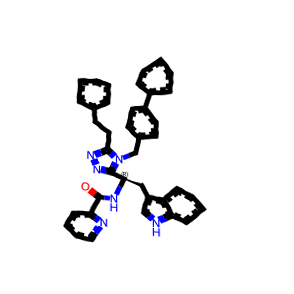 O=C(N[C@H](Cc1c[nH]c2ccccc12)c1nnc(CCc2ccccc2)n1Cc1ccc(-c2ccccc2)cc1)c1ccccn1